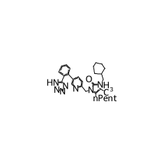 CCCCCc1c(C)n(CC2CCCCC2)c(=O)n1Cc1ccc(-c2ccccc2-c2nnn[nH]2)cn1